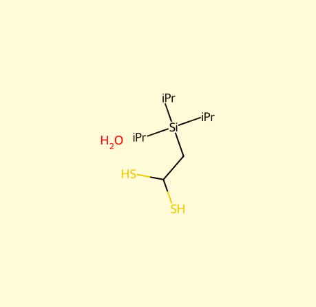 CC(C)[Si](CC(S)S)(C(C)C)C(C)C.O